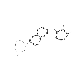 C[C@@H]1CCN(c2cnc3nc(Sc4ccnc(N)c4Cl)ccc3n2)C[C@@H]1N